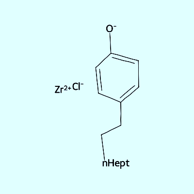 CCCCCCCCCc1ccc([O-])cc1.[Cl-].[Zr+2]